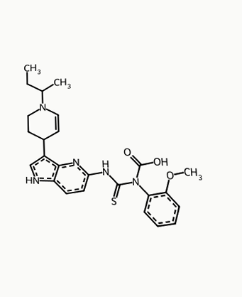 CCC(C)N1C=CC(c2c[nH]c3ccc(NC(=S)N(C(=O)O)c4ccccc4OC)nc23)CC1